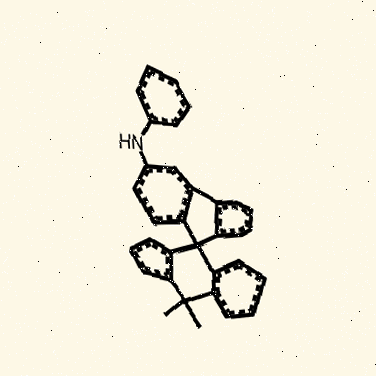 CC1(C)c2ccccc2C2(c3ccccc3-c3cc(Nc4ccccc4)ccc32)c2ccccc21